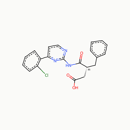 O=C(O)C[C@@H](Cc1ccccc1)C(=O)Nc1nccc(-c2ccccc2Cl)n1